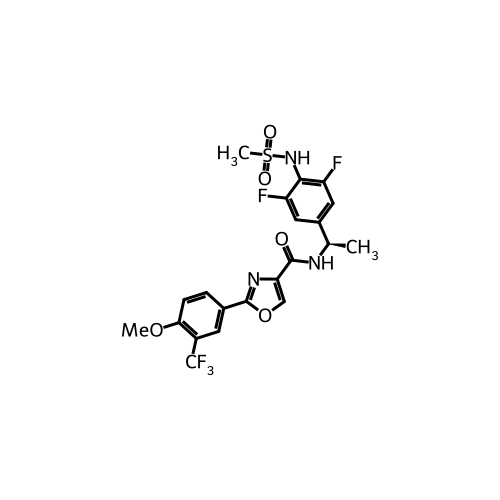 COc1ccc(-c2nc(C(=O)N[C@H](C)c3cc(F)c(NS(C)(=O)=O)c(F)c3)co2)cc1C(F)(F)F